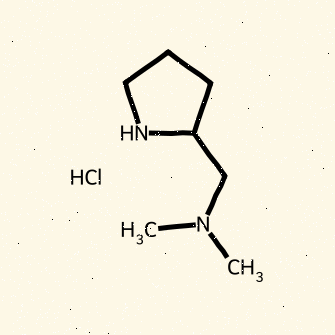 CN(C)CC1CCCN1.Cl